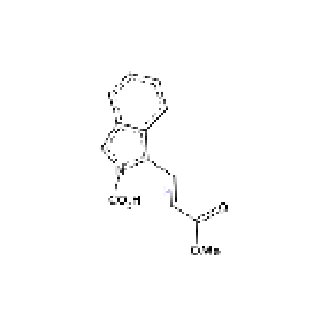 COC(=O)/C=C/c1c2ccccc2cn1C(=O)O